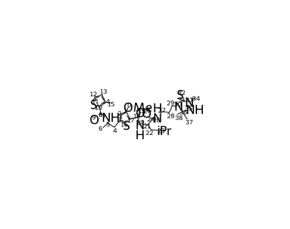 COc1cc(CC(C)NC(=O)c2sccc2C)sc1C(=O)NC(CC(C)C)C(=O)NCCCN1C(=S)N(C)NC1(C)C